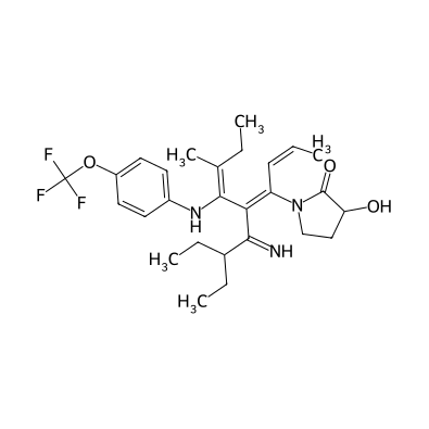 C\C=C/C(=C(C(=N)C(CC)CC)\C(Nc1ccc(OC(F)(F)F)cc1)=C(\C)CC)N1CCC(O)C1=O